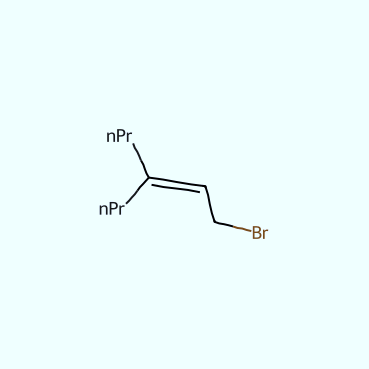 CCCC(=CCBr)CCC